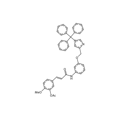 COc1ccc(C=CC(=O)Nc2cccc(OCc3cn(C(c4ccccc4)(c4ccccc4)c4ccccc4)cn3)c2)cc1OC(C)=O